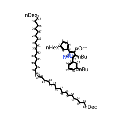 CCCCCCCCC1=C(c2cccc(CCCCCC)c2)[N+](=[N-])C(c2cccc(CCCC)c2)=C1CCCC.CCCCCCCCCCCCCCCCCCCCCCCCC[CH2][Ni][CH2]CCCCCCCCCCCCCCCCCCCCCCCCC